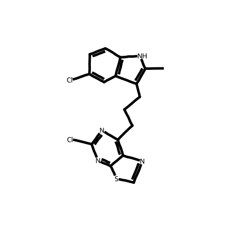 Cc1[nH]c2ccc(Cl)cc2c1CCCc1nc(Cl)nc2scnc12